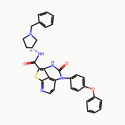 O=C(N[C@@H]1CCN(Cc2ccccc2)C1)c1sc2nccc3c2c1NC(=O)N3c1ccc(Oc2ccccc2)cc1